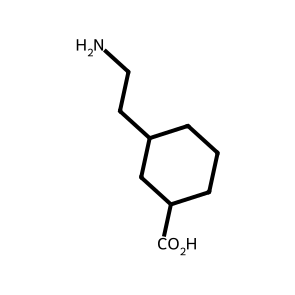 NCCC1CCCC(C(=O)O)C1